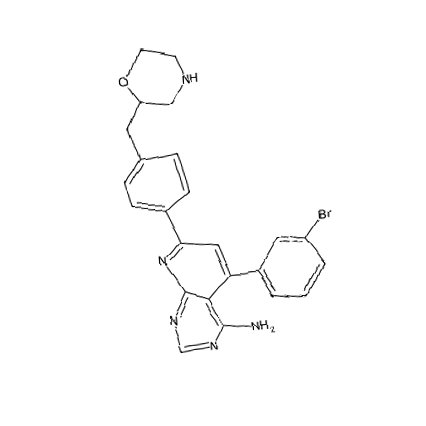 Nc1ncnc2nc(-c3ccc(CC4CNCCO4)cc3)cc(-c3cccc(Br)c3)c12